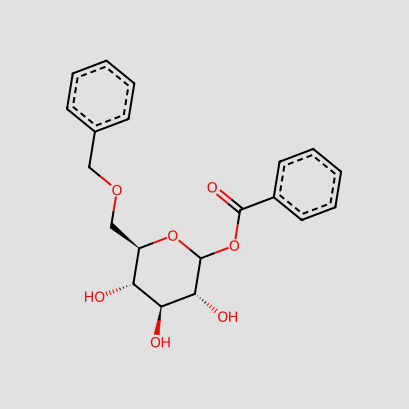 O=C(OC1O[C@H](COCc2ccccc2)[C@@H](O)[C@H](O)[C@H]1O)c1ccccc1